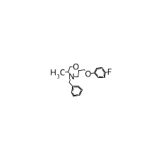 CC1COC(COc2ccc(F)cc2)CN1Cc1ccccc1